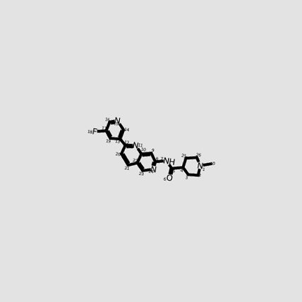 CN1CCC(C(=O)Nc2cc3nc(-c4cncc(F)c4)ccc3cn2)CC1